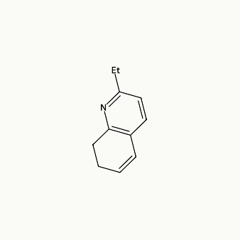 CCc1ccc2c(n1)CCC=C2